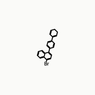 Brc1ccc(-c2ccc(C3=CCCC=C3)cc2)c2ccccc12